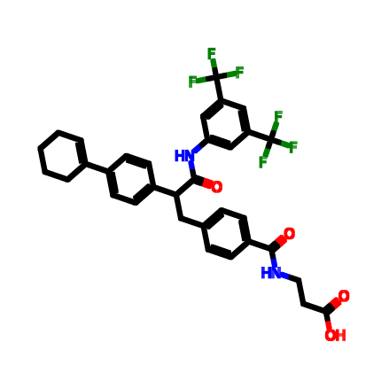 O=C(O)CCNC(=O)c1ccc(CC(C(=O)Nc2cc(C(F)(F)F)cc(C(F)(F)F)c2)c2ccc(C3=CCCCC3)cc2)cc1